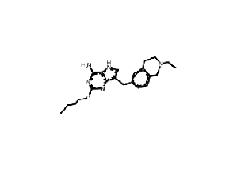 CCCCOc1nc(N)c2[nH]cc(Cc3ccc4c(c3)CCN(CC)C4)c2n1